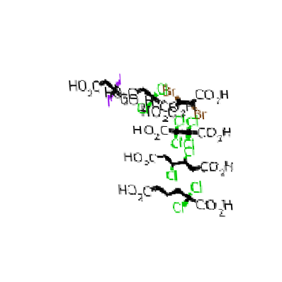 O=C(O)C(Br)C(Br)C(=O)O.O=C(O)C(Cl)(Cl)C(Cl)(Cl)C(=O)O.O=C(O)CC(Cl)(Cl)C(=O)O.O=C(O)CC(Cl)C(Cl)CC(=O)O.O=C(O)CC(I)(I)C(=O)O.O=C(O)CCCC(Cl)(Cl)C(=O)O